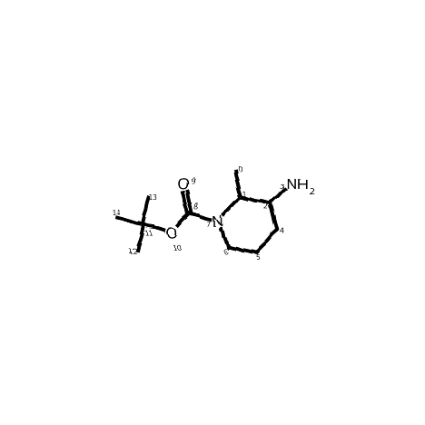 CC1C(N)CCCN1C(=O)OC(C)(C)C